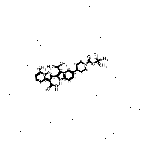 Cc1cccc2c(C(=O)O)c(-c3[nH]c4ccc(C5CCN(C(=O)OC(C)(C)C)CC5)cc4c3C(C)C)nn12